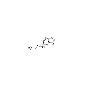 NCCNc1ccc2[nH]nnc2c1